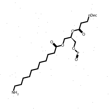 CCCCCCCCCCCCC(=O)O[C@@H](COP=O)COC(=O)CCCCCCCCCCN